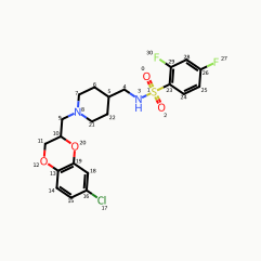 O=S(=O)(NCC1CCN(CC2COc3ccc(Cl)cc3O2)CC1)c1ccc(F)cc1F